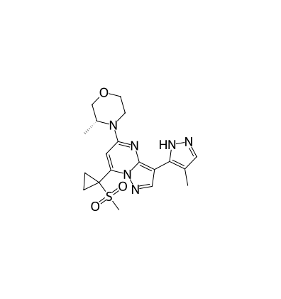 Cc1cn[nH]c1-c1cnn2c(C3(S(C)(=O)=O)CC3)cc(N3CCOC[C@H]3C)nc12